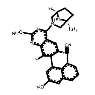 C#Cc1cccc2cc(O)cc(-c3c(F)cc4c(N5C[C@H]6CC[C@@](C)(C5)N6)nc(OC)nc4c3F)c12